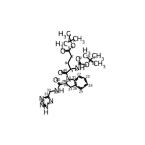 CC(C)(C)OC(=O)CCC(NC(=O)OC(C)(C)C)C(=O)N1c2ccccc2C[C@H]1C(=O)NCc1nn[nH]n1